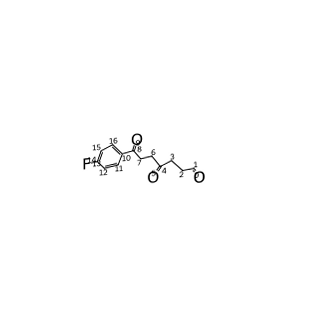 O=CCCC(=O)CCC(=O)c1ccc(F)cc1